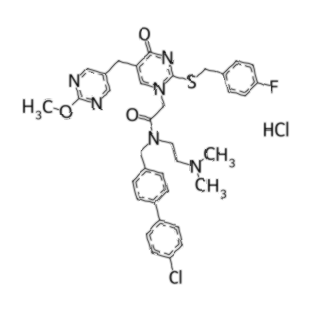 COc1ncc(Cc2cn(CC(=O)N(CCN(C)C)Cc3ccc(-c4ccc(Cl)cc4)cc3)c(SCc3ccc(F)cc3)nc2=O)cn1.Cl